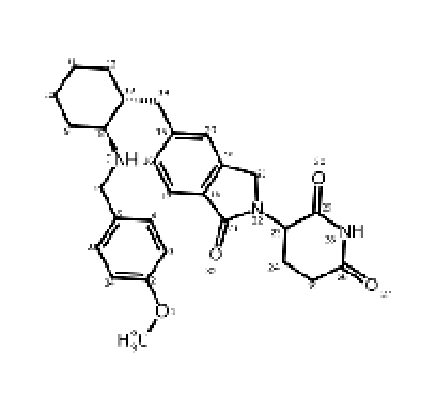 COc1ccc(CN[C@H]2CCCC[C@@H]2Cc2ccc3c(c2)CN(C2CCC(=O)NC2=O)C3=O)cc1